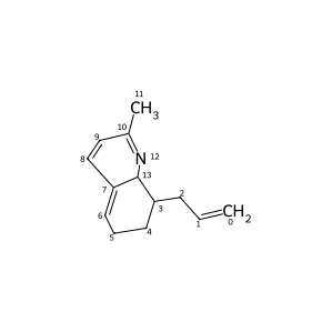 C=CCC1CCC=C2C=CC(C)=NC21